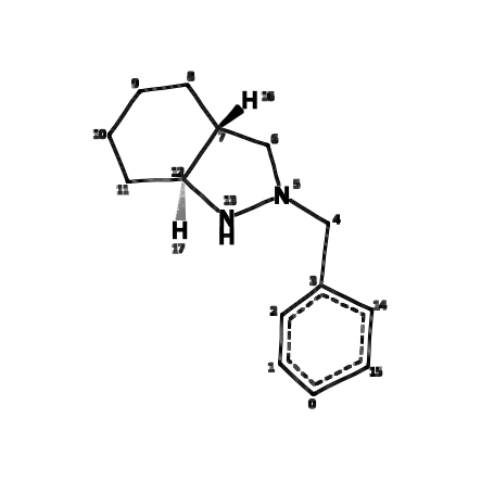 c1ccc(CN2C[C@H]3CCCC[C@@H]3N2)cc1